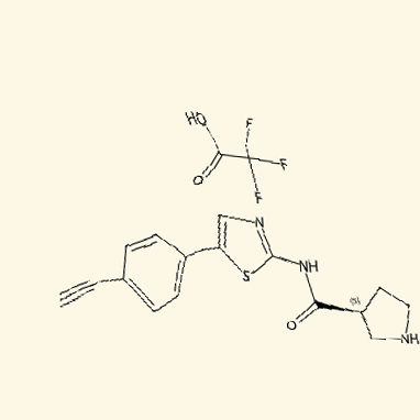 C#Cc1ccc(-c2cnc(NC(=O)[C@H]3CCNC3)s2)cc1.O=C(O)C(F)(F)F